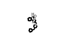 O=C1Nc2ccccc2C2=NC(CN3CCC(Cc4ccccc4)CC3)CN12